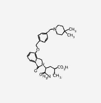 CC(CC(C(N)=O)N1Cc2c(OCc3ccc(CN4CCC(C)(C)CC4)cc3)cccc2C1=O)C(=O)O